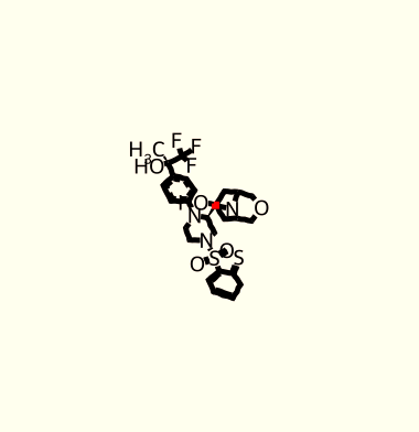 C[C@@](O)(c1ccc(N2CCN(S(=O)(=O)C3=CC=CCC3=S)C[C@@H]2CN2C3COCC2CC(O)C3)cc1)C(F)(F)F